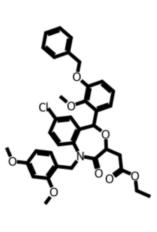 CCOC(=O)CC1OC(c2cccc(OCc3ccccc3)c2OC)c2cc(Cl)ccc2N(Cc2ccc(OC)cc2OC)C1=O